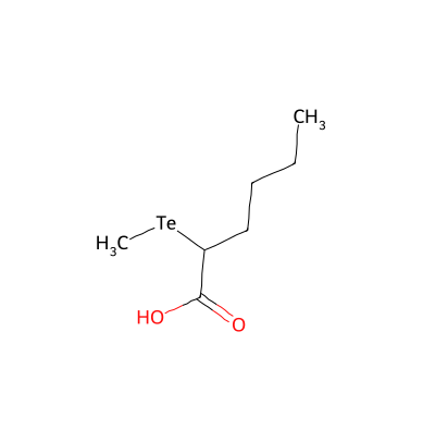 CCCCC([Te]C)C(=O)O